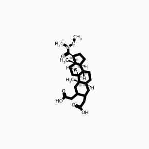 C=N[C@]12CC[C@]3(C)[C@@H](C(=O)N(C)OC)CC[C@H]3[C@@H]1CC[C@H]1CC(CC(=O)O)C(CC(=O)O)C[C@@]12C